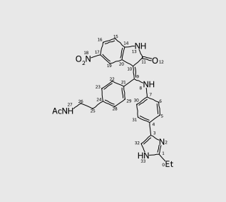 CCc1nc(-c2ccc(N/C(=C3\C(=O)Nc4ccc([N+](=O)[O-])cc43)c3ccc(CCNC(C)=O)cc3)cc2)c[nH]1